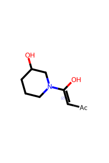 CC(=O)/C=C(\O)N1CCCC(O)C1